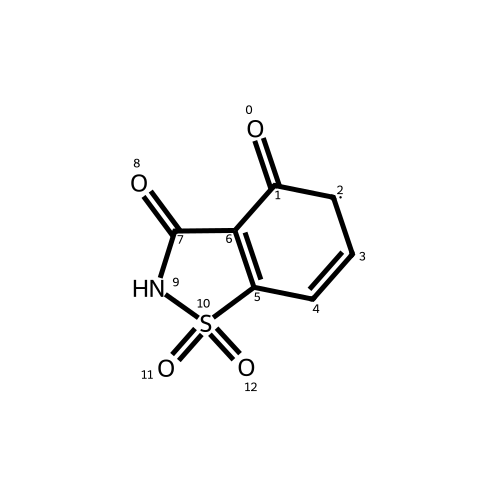 O=C1[CH]C=CC2=C1C(=O)NS2(=O)=O